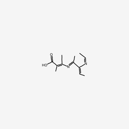 C\C=N/C(=C\C)C(/C)=N/C(C)=C(\C)C(=O)O